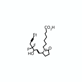 CCC#CCC(F)(F)C(O)C=CC1CCC(=O)N1CCCCCCC(=O)O